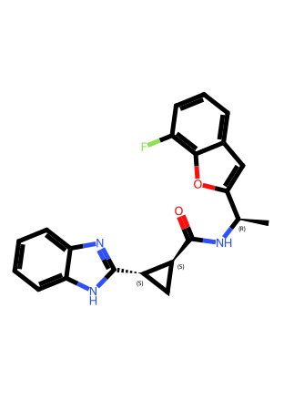 C[C@@H](NC(=O)[C@H]1C[C@@H]1c1nc2ccccc2[nH]1)c1cc2cccc(F)c2o1